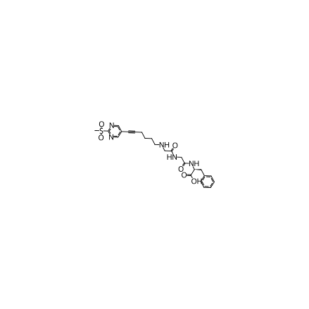 CS(=O)(=O)c1ncc(C#CCCCCNCC(=O)NCC(=O)N[C@@H](Cc2ccccc2)C(=O)O)cn1